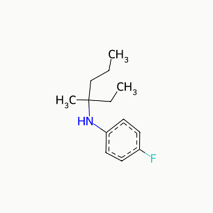 CCCC(C)(CC)Nc1ccc(F)cc1